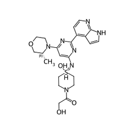 C[C@@H]1COCCN1c1cc(N=[SH]2(O)CCN(C(=O)CO)CC2)nc(-c2ccnc3[nH]ccc23)n1